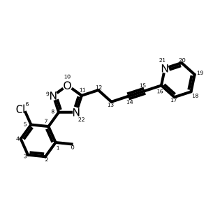 Cc1cccc(Cl)c1-c1noc(CCC#Cc2ccccn2)n1